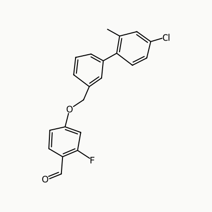 Cc1cc(Cl)ccc1-c1cccc(COc2ccc(C=O)c(F)c2)c1